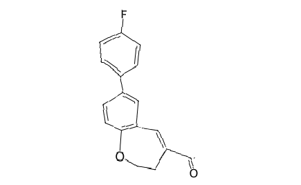 O=[C]C1=Cc2cc(-c3ccc(F)cc3)ccc2OCC1